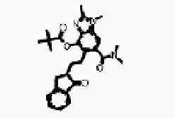 Cc1nc2c(OC(=O)C(C)(C)C)c(CCC3Cc4ccccc4C3=O)c(C(=O)N(C)C)cc2n1C